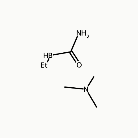 CCBC(N)=O.CN(C)C